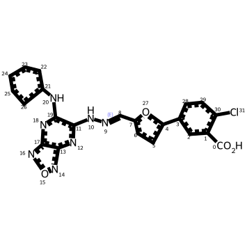 O=C(O)c1cc(-c2ccc(/C=N/Nc3nc4nonc4nc3Nc3ccccc3)o2)ccc1Cl